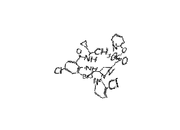 CC(NC(=O)c1cc(Cl)cc(Br)c1NC(=O)C1CC(S(=O)(=O)Oc2ccccn2)=NN1c1ncccc1Cl)C1CC1